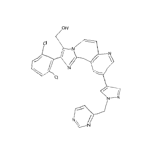 OCc1c(-c2c(Cl)cccc2Cl)nc2c3cc(-c4cnn(Cc5ccncn5)c4)cnc3ccn12